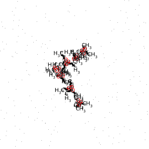 C=C[Si](OC)(OC)OC.CCCCO[Si](CCC)(OCCCC)OCCCC.CCCC[Si](OC)(OC)OC.CCCO[Si](CCC)(OCCC)OCCC.CCC[Si](OC)(OC)OC.CCC[Si](OCC)(OCC)OCC.CCO[Si](CC)(OCC)OCC